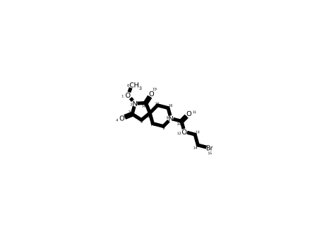 CON1C(=O)CC2(CCN(C(=O)OCCBr)CC2)C1=O